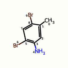 Cc1cc(N)c(Br)cc1Br